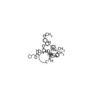 COc1ccc2c(O[C@@H]3C[C@H]4C(=O)N[C@]5(P(=O)(O)Cc6ccccc6)C[C@H]5CCCCCCCC(NC(=O)CC5CCCC5)C(=O)N4C3)cc(-c3csc(NC(C)C)n3)nc2c1